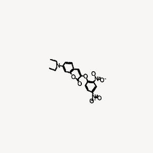 CCN(CC)c1ccc2cc(Oc3ccc([N+](=O)[O-])cc3[N+](=O)[O-])c(=O)oc2c1